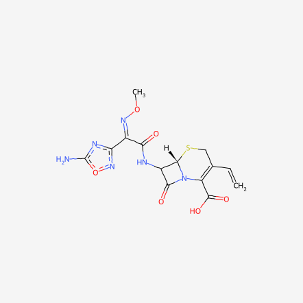 C=CC1=C(C(=O)O)N2C(=O)C(NC(=O)/C(=N\OC)c3noc(N)n3)[C@@H]2SC1